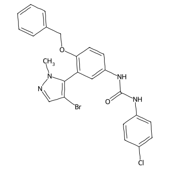 Cn1ncc(Br)c1-c1cc(NC(=O)Nc2ccc(Cl)cc2)ccc1OCc1ccccc1